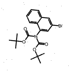 CC(C)(C)OC(=O)N(C(=O)OC(C)(C)C)c1cc(Br)cc2ccccc12